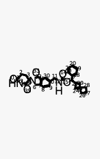 O=C1CCC(N2Cc3ccc(CNC(=O)OC(c4ccccc4)C4CC5(CCC5)C4)cc3C2=O)C(=O)N1